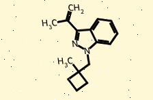 C=C(C)c1nn(CC2(C)CCC2)c2ccccc12